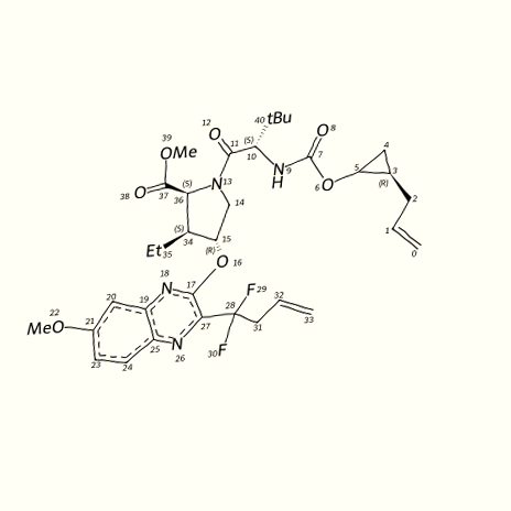 C=CC[C@@H]1CC1OC(=O)N[C@H](C(=O)N1C[C@H](Oc2nc3cc(OC)ccc3nc2C(F)(F)CC=C)[C@@H](CC)[C@H]1C(=O)OC)C(C)(C)C